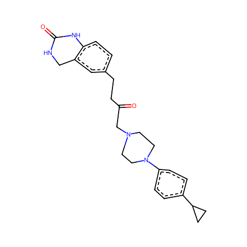 O=C(CCc1ccc2c(c1)CNC(=O)N2)CN1CCN(c2ccc(C3CC3)cc2)CC1